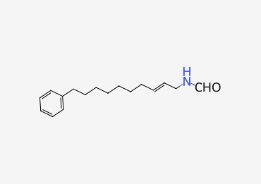 O=CNC/C=C/CCCCCCCc1ccccc1